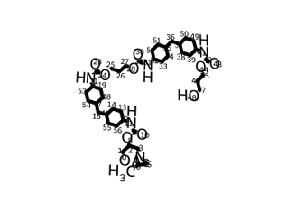 CC(=O)OCC(CN1CC1C)OC(=O)NC1CCC(CC2CCC(NC(=O)OCCCOC(=O)NC3CCC(CC4CCC(NC(=O)OCCCO)CC4)CC3)CC2)CC1